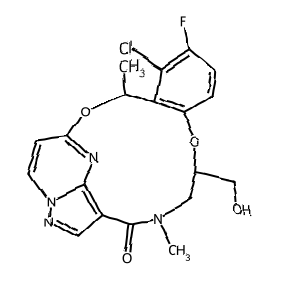 CC1Oc2ccn3ncc(c3n2)C(=O)N(C)CC(CO)Oc2ccc(F)c(Cl)c21